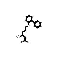 CC(=O)OC(C=C(F)F)CCCOc1ccccc1-c1ccccc1